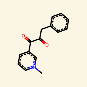 C[n+]1cccc(C(=O)C(=O)Cc2ccccc2)c1